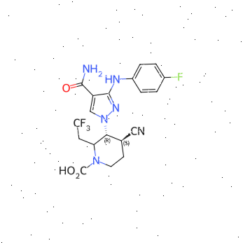 N#C[C@H]1CCN(C(=O)O)C(CC(F)(F)F)[C@@H]1n1cc(C(N)=O)c(Nc2ccc(F)cc2)n1